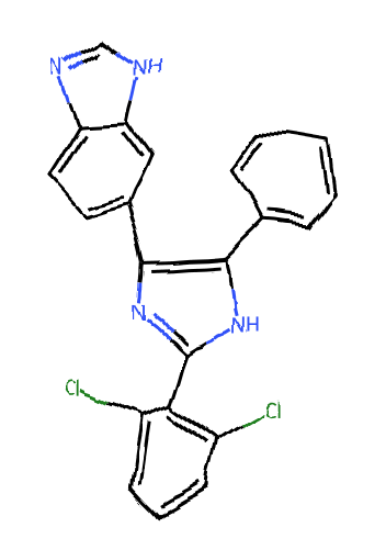 Clc1cccc(Cl)c1-c1nc(-c2ccc3nc[nH]c3c2)c(-c2ccccc2)[nH]1